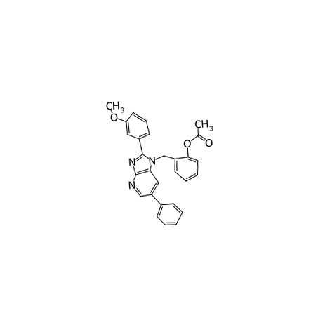 COc1cccc(-c2nc3ncc(-c4ccccc4)cc3n2Cc2ccccc2OC(C)=O)c1